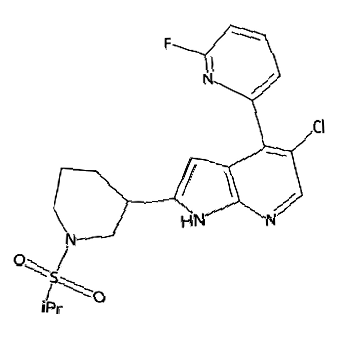 CC(C)S(=O)(=O)N1CCCC(c2cc3c(-c4cccc(F)n4)c(Cl)cnc3[nH]2)C1